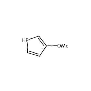 COc1[c][pH]cc1